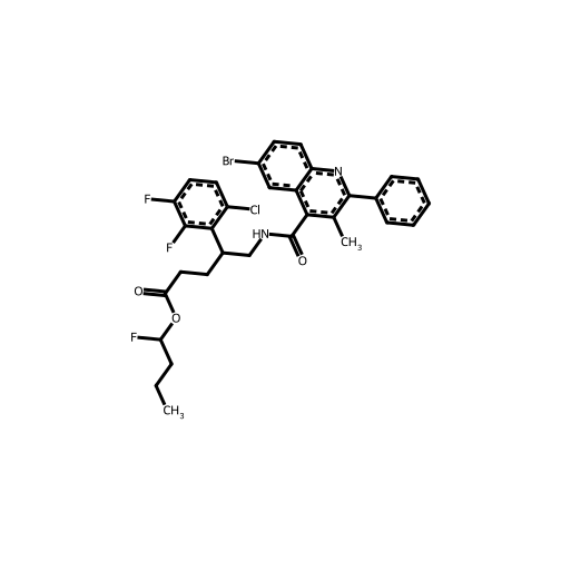 CCCC(F)OC(=O)CCC(CNC(=O)c1c(C)c(-c2ccccc2)nc2ccc(Br)cc12)c1c(Cl)ccc(F)c1F